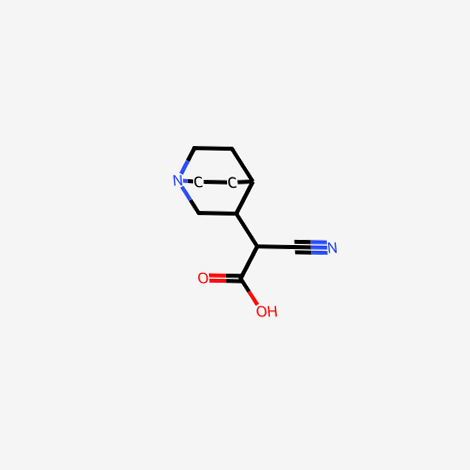 N#CC(C(=O)O)C1CN2CCC1CC2